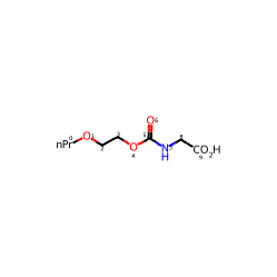 CCCOCCOC(=O)NCC(=O)O